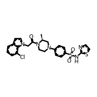 C[C@H]1CN(c2ccc(S(=O)(=O)Nc3nccs3)cc2)CCN1C(=O)Cn1ccc2cccc(Cl)c21